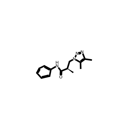 Cc1nnn(C[C@@H](C)C(=O)Nc2ccccc2)c1C